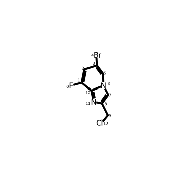 Fc1cc(Br)cn2cc(CCl)nc12